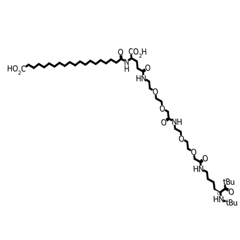 CC(C)(C)N[C@@H](CCCCNC(=O)COCCOCCNC(=O)COCCOCCNC(=O)CCC(NC(=O)CCCCCCCCCCCCCCCCCCC(=O)O)C(=O)O)C(=O)C(C)(C)C